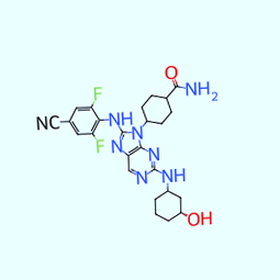 N#Cc1cc(F)c(Nc2nc3cnc(NC4CCC[C@H](O)C4)nc3n2C2CCC(C(N)=O)CC2)c(F)c1